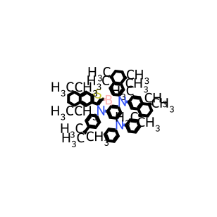 Cc1cc2c(cc1N1c3cc4c(cc3B3c5sc6cc7c(cc6c5N(c5ccc(C(C)(C)C)cc5)c5cc(N(c6ccccc6)c6ccccc6)cc1c53)C(C)(C)CCC7(C)C)C(C)(C)CCC4(C)C)C(C)(C)CCC2(C)C